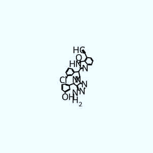 C#Cc1cccc2nc(C(Cn3nc(-c4cccc(O)c4)c4c(N)ncnc43)c3cccc(Cl)c3)[nH]c(=O)c12